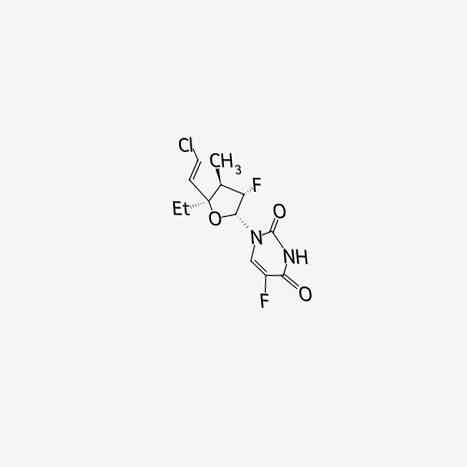 CC[C@@]1(C=CCl)O[C@@H](n2cc(F)c(=O)[nH]c2=O)[C@@H](F)[C@@H]1C